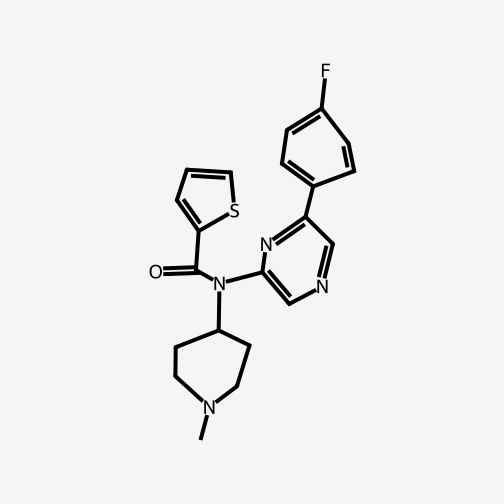 CN1CCC(N(C(=O)c2cccs2)c2cncc(-c3ccc(F)cc3)n2)CC1